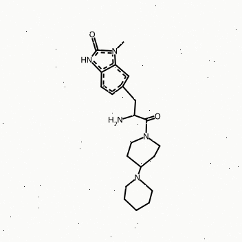 Cn1c(=O)[nH]c2ccc(CC(N)C(=O)N3CCC(N4CCCCC4)CC3)cc21